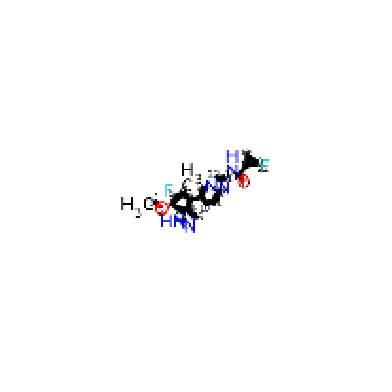 CCOc1c(F)c(C)c(-c2ccc3nc(NC(=O)C4CC4F)cn3c2)c2cn[nH]c12